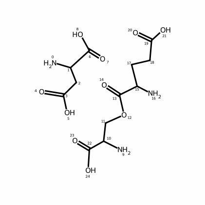 NC(CC(=O)O)C(=O)O.NC(COC(=O)C(N)CCC(=O)O)C(=O)O